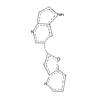 c1cnc2cc(-c3cnc4cc[nH]c4c3)oc2c1